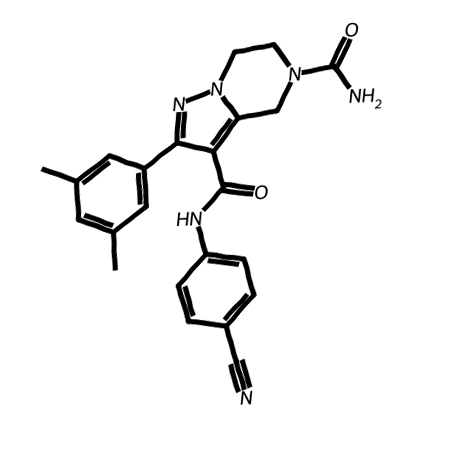 Cc1cc(C)cc(-c2nn3c(c2C(=O)Nc2ccc(C#N)cc2)CN(C(N)=O)CC3)c1